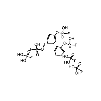 O=P(O)(F)OI.O=P(O)(F)Oc1ccccc1.O=P(O)(F)Oc1ccccc1.O=P(O)(O)F.O=P(O)(O)F.O=P(O)(O)F